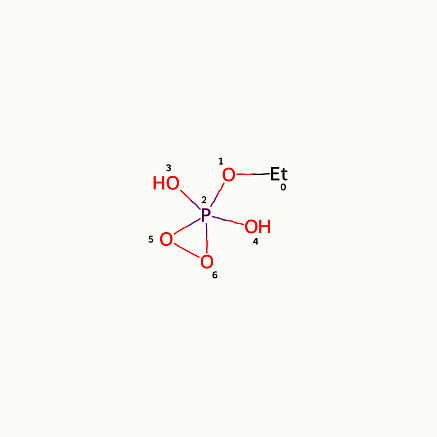 CCOP1(O)(O)OO1